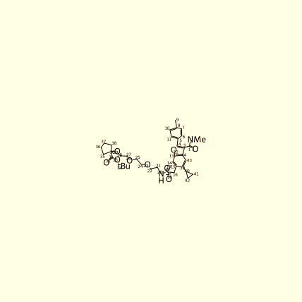 CNC(=O)c1c(-c2ccc(C)cc2)oc2cc(CS(=O)(=O)NCCOCCOCCOC3(C(=O)OC(C)(C)C)CCCC3)c(C3CC3)cc12